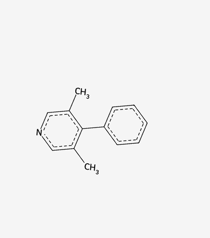 Cc1cncc(C)c1-c1ccccc1